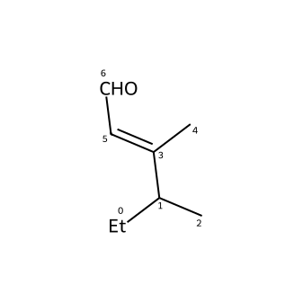 CCC(C)C(C)=CC=O